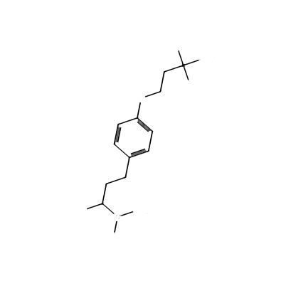 CC(CCc1ccc(OCCC(C)(C)C)cc1)N(C)C.Cl